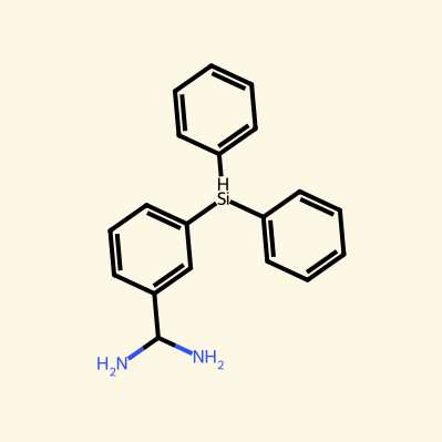 NC(N)c1cccc([SiH](c2ccccc2)c2ccccc2)c1